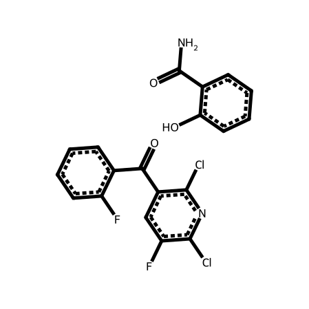 NC(=O)c1ccccc1O.O=C(c1ccccc1F)c1cc(F)c(Cl)nc1Cl